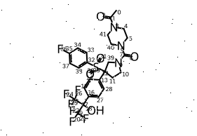 CC(=O)N1CCN(C(=O)N2CCC(c3ccc(C(O)(C(F)(F)F)C(F)(F)F)cc3)(S(=O)(=O)c3ccc(F)cc3)C2)CC1